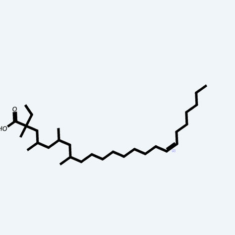 CCCCCC/C=C\CCCCCCCCC(C)CC(C)CC(C)CC(C)(CC)C(=O)O